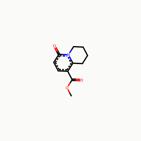 COC(=O)c1ccc(=O)n2c1CCCC2